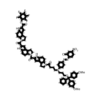 COc1ccc(C(OCCCN(CCCC(=O)N2CCc3c2ccc2[nH]c(C(=O)N4CCc5c4ccc4[nH]c(C(=O)N6CCc7c6ccc6[nH]c(C(=O)Oc8c(F)c(F)c(F)c(F)c8F)cc76)cc54)cc32)c2ccc(N=Nc3ccc([N+](=O)[O-])cc3Cl)cc2)(c2ccccc2)c2ccc(OC)cc2)cc1